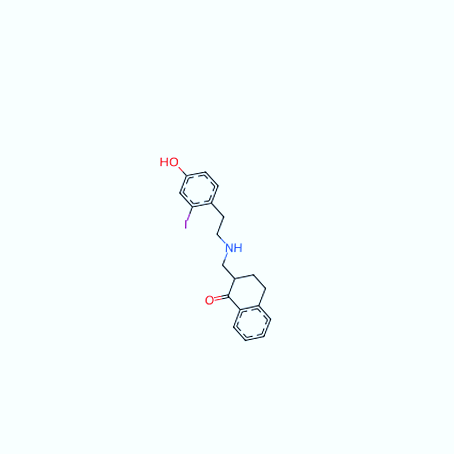 O=C1c2ccccc2CCC1CNCCc1ccc(O)cc1I